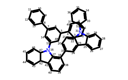 C1=CCCC(C2C=C(c3ccccc3)C=C(N3c4c(-c5ccc6c(c5)c5ccccc5n6C5C=CC=CC5)cccc4C4C=CC=CC43)C2)=C1